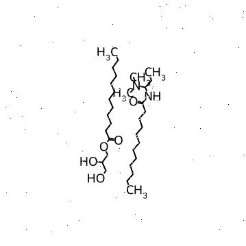 CCCCCCCCCCCC(=O)NC(CC)N(C)C.CCCCCCCCCCCC(=O)OCC(O)CO